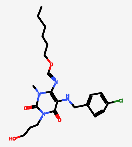 CCCCCCO/C=N/c1c(NCc2ccc(Cl)cc2)c(=O)n(CCCO)c(=O)n1C